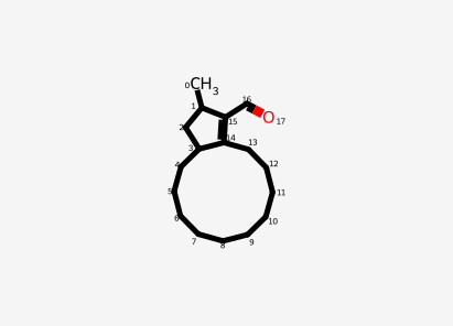 CC1CC2CCCCCCCCCCC2=C1C=O